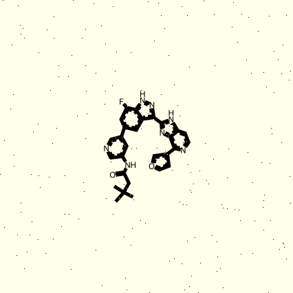 CC(C)(C)CC(=O)Nc1cncc(-c2cc(F)c3[nH]nc(-c4nc5c(-c6ccoc6)nccc5[nH]4)c3c2)c1